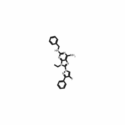 CCn1c(-n2cc(F)c(-c3ccccc3)n2)nc2c(N)nc(NCc3ccccc3)nc21